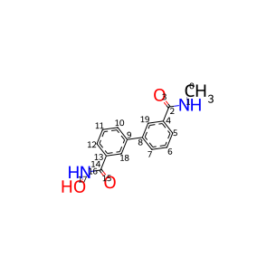 CNC(=O)c1cccc(-c2cccc(C(=O)NO)c2)c1